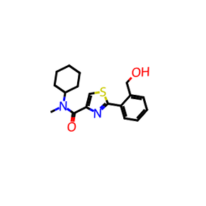 CN(C(=O)c1csc(-c2ccccc2CO)n1)C1CCCCC1